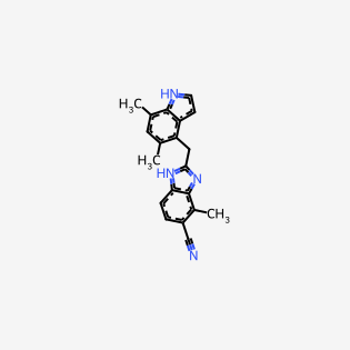 Cc1cc(C)c2[nH]ccc2c1Cc1nc2c(C)c(C#N)ccc2[nH]1